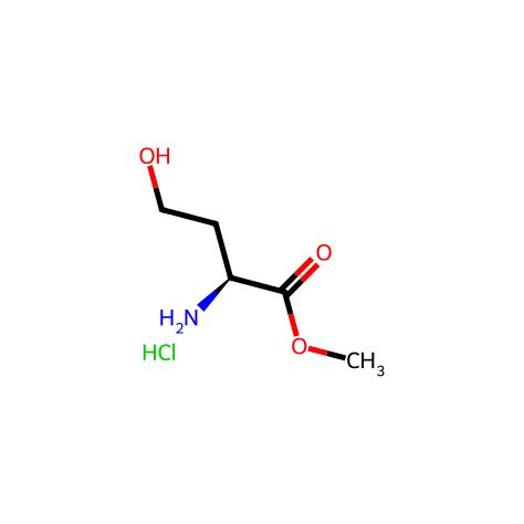 COC(=O)[C@@H](N)CCO.Cl